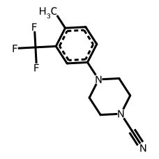 Cc1ccc(N2CCN(C#N)CC2)cc1C(F)(F)F